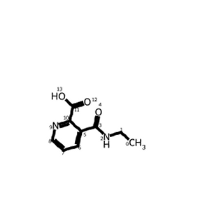 CCNC(=O)c1cccnc1C(=O)O